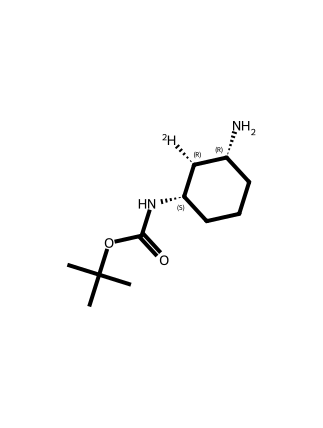 [2H][C@@H]1[C@H](N)CCC[C@@H]1NC(=O)OC(C)(C)C